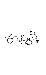 Cc1ccc2cc([C@H](C)Nc3nccc(N4C(=O)OC[C@@H]4C(C)C)n3)ccc2c1Br